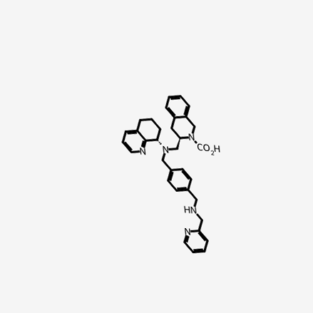 O=C(O)N1Cc2ccccc2C[C@@H]1CN(Cc1ccc(CNCc2ccccn2)cc1)[C@H]1CCCc2cccnc21